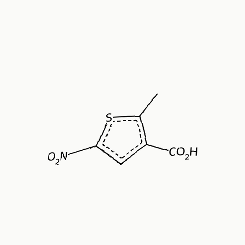 Cc1sc([N+](=O)[O-])cc1C(=O)O